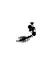 Cc1ccc(SCCCC(=O)NC[C@H](O)[C@@H](O)[C@H](O)[C@H](O)CO)cc1COC1(c2cnccc2-c2ccccc2OC2CC2)CC1